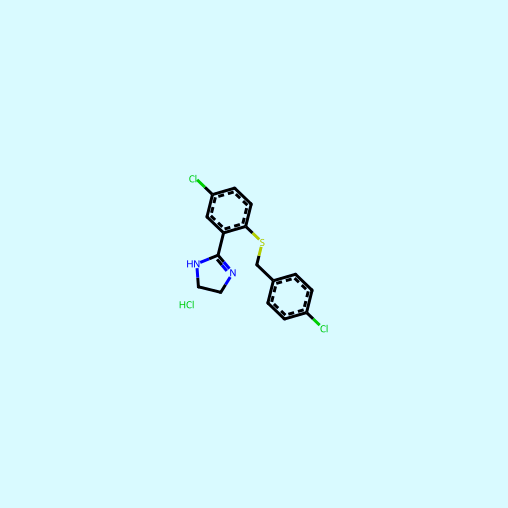 Cl.Clc1ccc(CSc2ccc(Cl)cc2C2=NCCN2)cc1